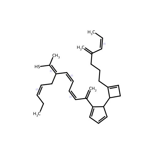 C=C(/C=C\C)CCCC1=CCC1C1C=CC=C1C(=C)\C=C/C=C\C(C/C=C\CC)=C(/C)S